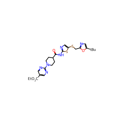 CCOC(=O)c1cnc(N2CCC(C(=O)Nc3ncc(SCc4ncc(C(C)(C)C)o4)s3)CC2)nc1